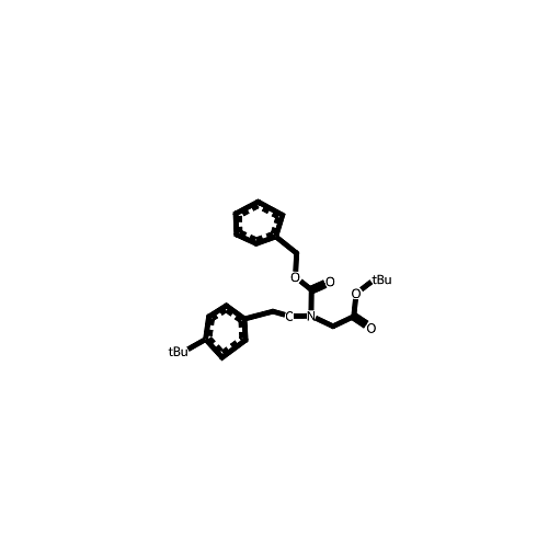 CC(C)(C)OC(=O)CN(CCc1ccc(C(C)(C)C)cc1)C(=O)OCc1ccccc1